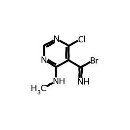 CNc1ncnc(Cl)c1C(=N)Br